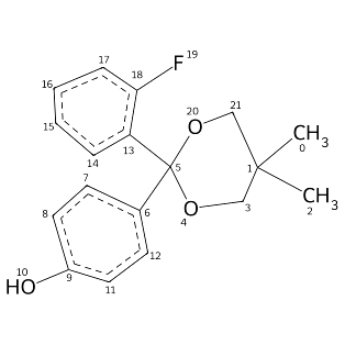 CC1(C)COC(c2ccc(O)cc2)(c2ccccc2F)OC1